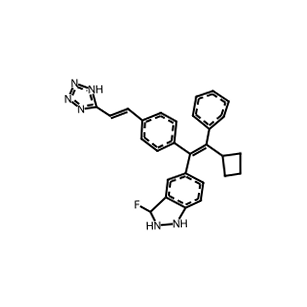 FC1NNc2ccc(/C(=C(/c3ccccc3)C3CCC3)c3ccc(/C=C/c4nnn[nH]4)cc3)cc21